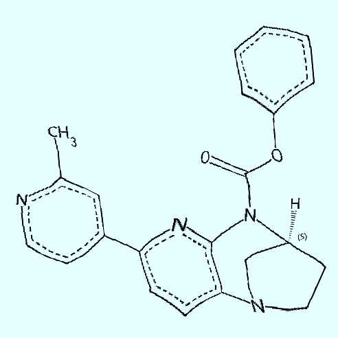 Cc1cc(-c2ccc3c(n2)N(C(=O)Oc2ccccc2)[C@H]2CCN3C2)ccn1